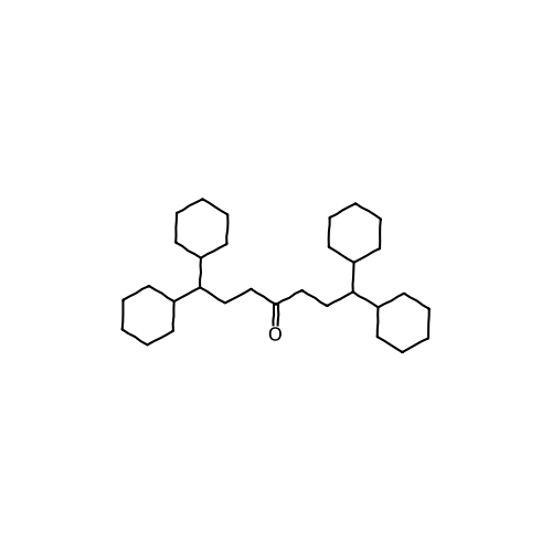 O=C(CCC(C1CCCCC1)C1CCCCC1)CCC(C1CCCCC1)C1CCCCC1